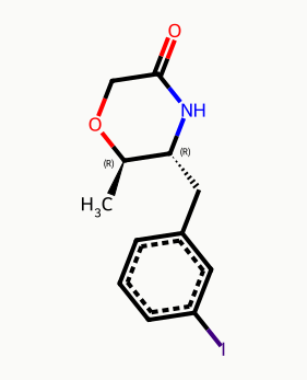 C[C@H]1OCC(=O)N[C@@H]1Cc1cccc(I)c1